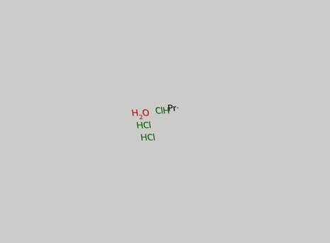 Cl.Cl.Cl.O.[Pr]